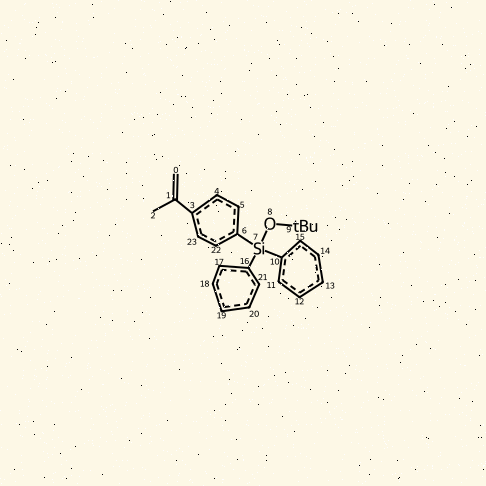 C=C(C)c1ccc([Si](OC(C)(C)C)(c2ccccc2)c2ccccc2)cc1